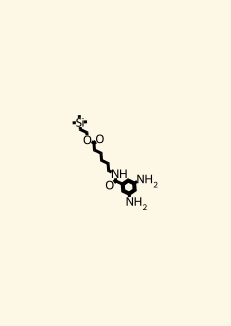 C[Si](C)(C)CCOC(=O)CCCCCNC(=O)c1cc(N)cc(N)c1